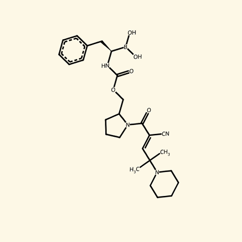 CC(C)(C=C(C#N)C(=O)N1CCCC1COC(=O)N[C@@H](Cc1ccccc1)B(O)O)N1CCCCC1